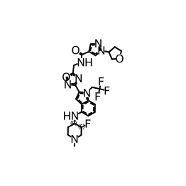 CN1CC[C@@H](Nc2cccc3c2cc(-c2noc(CNC(=O)c4cnn(C5CCOC5)c4)n2)n3CC(F)(F)F)[C@@H](F)C1